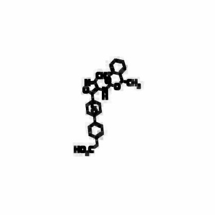 Cc1noc(C23CCC(c4ccc(CC(=O)O)cc4)(CC2)OC3)c1NC(=O)O[C@H](C)c1ccccc1Cl